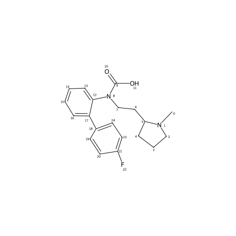 CN1CCCC1CCN(C(=O)O)c1ccccc1-c1ccc(F)cc1